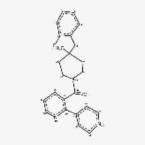 CC1(Cc2ccccc2F)CCN(C(=O)c2cccnc2-c2ccncc2)CC1